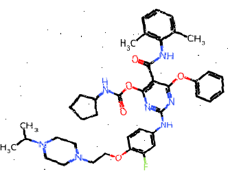 Cc1cccc(C)c1NC(=O)c1c(OC(=O)NC2CCCC2)nc(Nc2ccc(OCCN3CCN(C(C)C)CC3)c(F)c2)nc1Oc1ccccc1